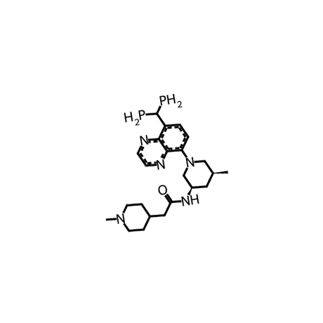 C[C@H]1C[C@@H](NC(=O)CC2CCN(C)CC2)CN(c2ccc(C(P)P)c3nccnc23)C1